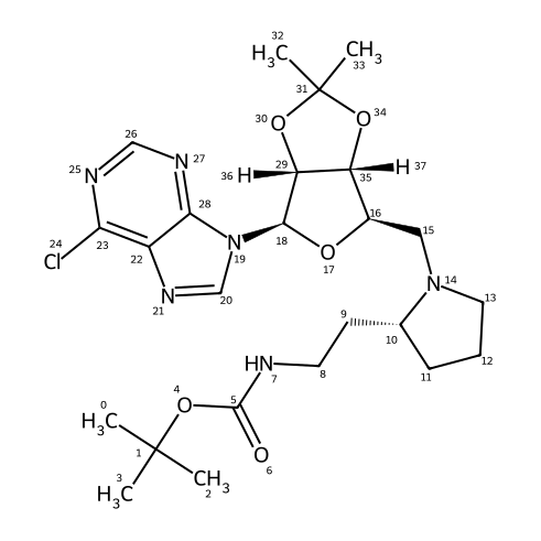 CC(C)(C)OC(=O)NCC[C@H]1CCCN1C[C@H]1O[C@@H](n2cnc3c(Cl)ncnc32)[C@@H]2OC(C)(C)O[C@@H]21